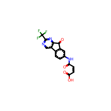 O=C(O)/C=C\C(=O)Nc1ccc2c(c1)C(=O)c1nc(C(F)(F)F)ncc1-2